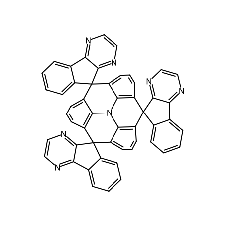 c1ccc2c(c1)-c1nccnc1C21c2cccc3c2N2c4c1cccc4C1(c4ccccc4-c4nccnc41)c1cccc(c12)C31c2ccccc2-c2nccnc21